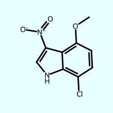 COc1ccc(Cl)c2[nH]cc([N+](=O)[O-])c12